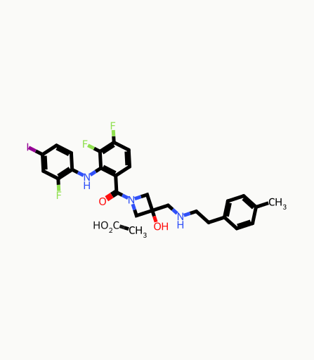 CC(=O)O.Cc1ccc(CCNCC2(O)CN(C(=O)c3ccc(F)c(F)c3Nc3ccc(I)cc3F)C2)cc1